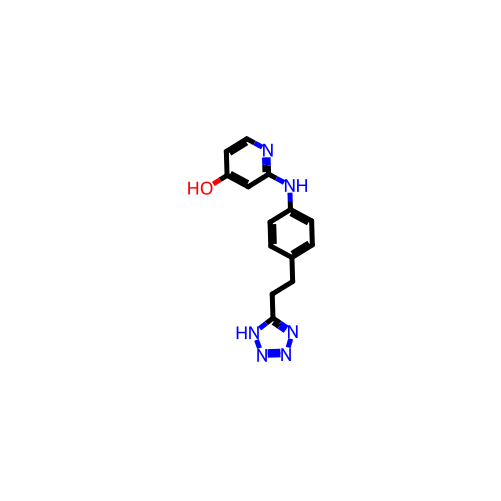 Oc1ccnc(Nc2ccc(CCc3nnn[nH]3)cc2)c1